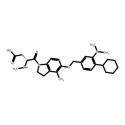 CN[C@H](CC(=O)O)C(=O)N1CCc2c1ccc(OCc1ccc(C3CCCCC3)c(N(C)C)c1)c2C